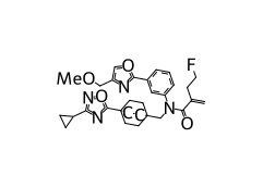 C=C(CCF)C(=O)N(CC12CCC(c3nc(C4CC4)no3)(CC1)CC2)c1cccc(-c2nc(COC)co2)c1